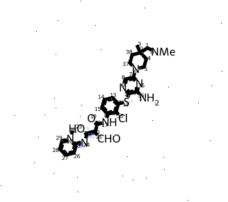 CNCC1(C)CCN(c2cnc(Sc3cccc(NC(=O)/C(C=O)=C(O)/N=c4/ccccn4C)c3Cl)c(N)n2)CC1